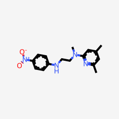 Cc1cc(C)nc(N(C)CCNc2ccc([N+](=O)[O-])cc2)c1